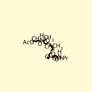 CCCNC(=O)CC1(O)C[C@]2(CO2)C[C@@H](C=CC(C)=CC[C@@H]2O[C@H](C)[C@H](NC(=O)C=C[C@H](C)OC(C)=O)C[C@@H]2C)O1